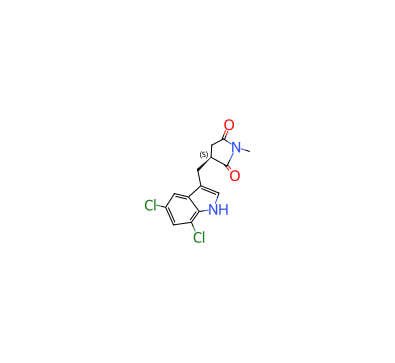 CN1C(=O)C[C@H](Cc2c[nH]c3c(Cl)cc(Cl)cc23)C1=O